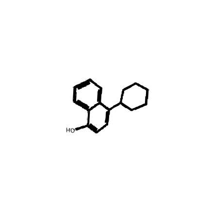 Oc1ccc(C2CC[CH]CC2)c2ccccc12